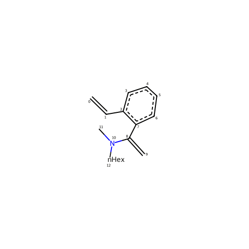 C=Cc1ccccc1C(=C)N(C)CCCCCC